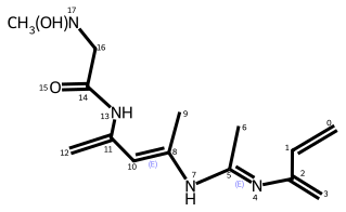 C=CC(=C)/N=C(\C)N/C(C)=C/C(=C)NC(=O)CN(C)O